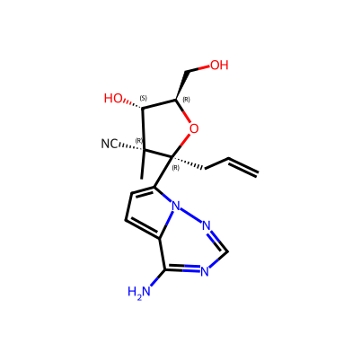 C=CC[C@@]1(c2ccc3c(N)ncnn23)O[C@H](CO)[C@@H](O)[C@@]1(C)C#N